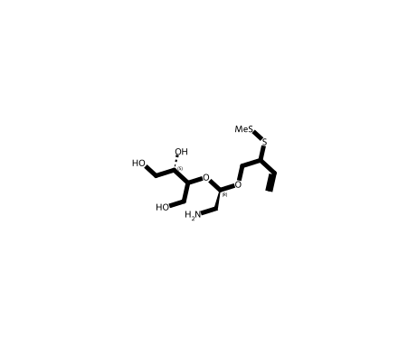 C=CC(CO[C@@H](CN)OC(CO)[C@@H](O)CO)SSC